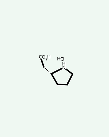 Cl.O=C(O)C[C@H]1CCCN1